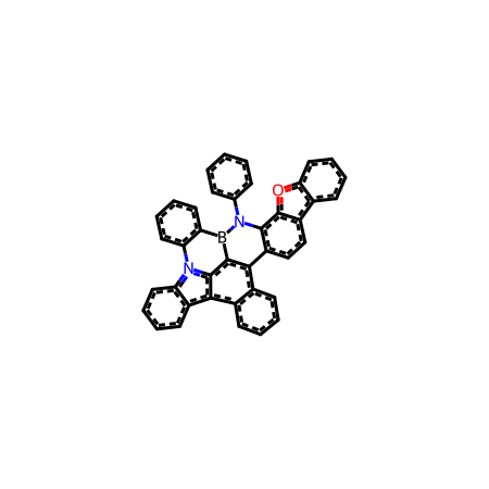 c1ccc(N2B3c4ccccc4-n4c5ccccc5c5c6ccccc6c(c3c54)-c3ccc4c(oc5ccccc54)c32)cc1